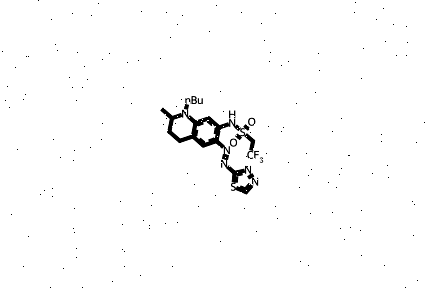 CCCCN1c2cc(NS(=O)(=O)CC(F)(F)F)c(N=Nc3nncs3)cc2CCC1C